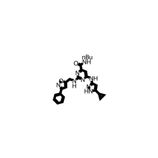 CCCCNC(=O)c1cc(Nc2cc(C3CC3)[nH]n2)nc(NCc2cc(-c3ccccc3)no2)n1